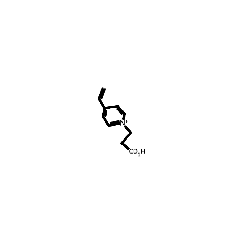 C=Cc1cc[n+](CCC(=O)O)cc1